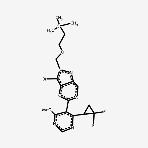 COc1ncnc(C2CC2(F)F)c1-c1ncc2nn(COCC[Si](C)(C)C)c(Br)c2n1